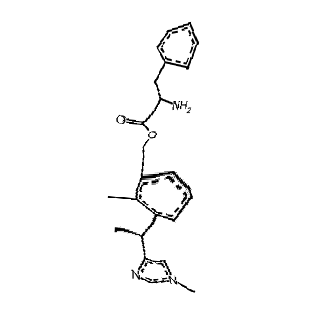 Cc1c(COC(=O)C(N)Cc2ccccc2)cccc1[C@H](C)c1cn(C)cn1